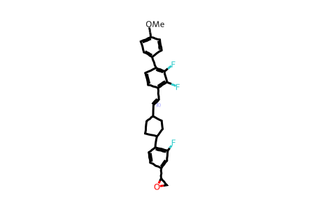 COc1ccc(-c2ccc(/C=C/C3CCC(c4ccc(C5CO5)cc4F)CC3)c(F)c2F)cc1